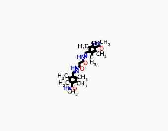 CNC(=O)c1c(C)c(C)c(/C=N/NC(=O)CC(=O)N/N=C/c2c(C)c(C)c(C(=O)NC)c(C)c2C)c(C)c1C